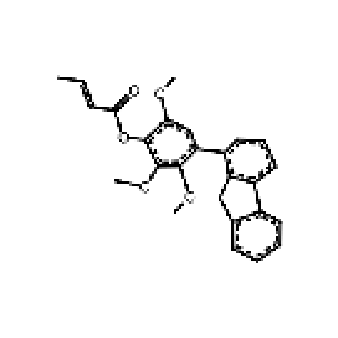 CC=CC(=O)Oc1c(OC)cc(-c2cccc3c2Cc2ccccc2-3)c(OC)c1OC